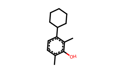 Cc1ccc(C2CCCCC2)c(C)c1O